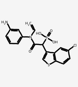 C=CN(C(=O)C(c1csc2ccc(Cl)cc12)P(=O)(O)O)c1cccc(N)c1